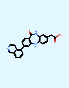 O=C(O)Cc1ccc2c(c1)NC(=O)c1ccc(-c3cccc4cnccc34)cc1N2